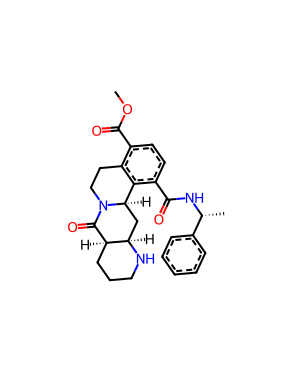 COC(=O)c1ccc(C(=O)N[C@H](C)c2ccccc2)c2c1CCN1C(=O)[C@@H]3CCCN[C@@H]3C[C@H]21